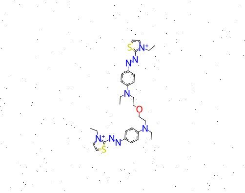 CCN(CCOCCN(CC)c1ccc(N=Nc2scc[n+]2CC)cc1)c1ccc(N=Nc2scc[n+]2CC)cc1